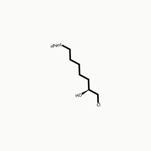 CCCCCCCCCC[C@H](O)CCl